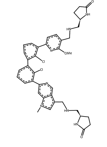 COc1nc(-c2cccc(-c3cccc(-c4cc5c(cn4)c(CNC[C@H]4CCC(=O)N4)cn5C)c3Cl)c2Cl)ccc1CNC[C@H]1CCC(=O)N1